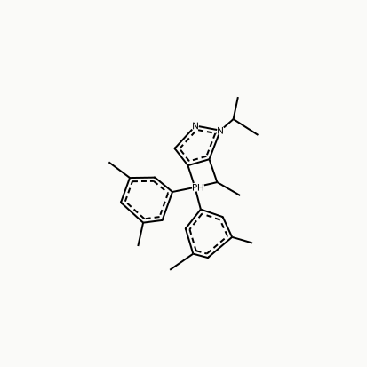 Cc1cc(C)cc([PH]2(c3cc(C)cc(C)c3)c3cnn(C(C)C)c3C2C)c1